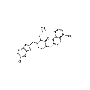 CCC[C@H]1C(=O)N(Cc2ccc3c(N)ncnc3c2)CCN1Cc1cc2ccc(Cl)nc2s1